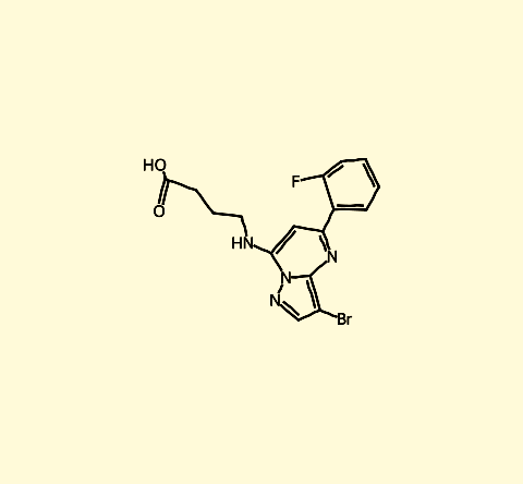 O=C(O)CCCNc1cc(-c2ccccc2F)nc2c(Br)cnn12